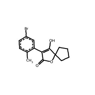 Cc1ccc(Br)cc1C1=C(O)C2(CCCC2)OC1=O